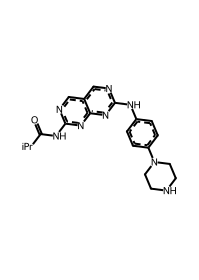 CC(C)C(=O)Nc1ncc2cnc(Nc3ccc(N4CCNCC4)cc3)nc2n1